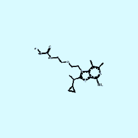 Cc1nc(N)c2nc(C(C)C3CC3)n(CCOCCNC(=O)NC(C)C)c2c1C